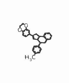 Cc1ccc(C2Cc3ccccc3C3CC(c4ccc5c(c4)OCCO5)=CC23)cc1